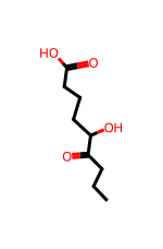 CCCC(=O)C(O)CCCC(=O)O